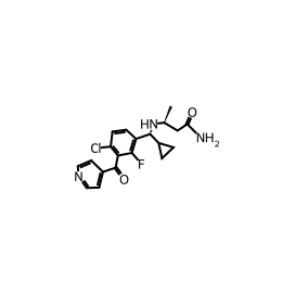 C[C@@H](CC(N)=O)N[C@@H](c1ccc(Cl)c(C(=O)c2ccncc2)c1F)C1CC1